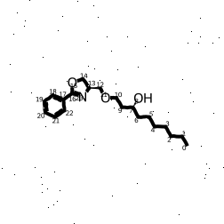 CCCCCCC[C@@H](O)CCOC[C@@H]1COC(c2ccccc2)=N1